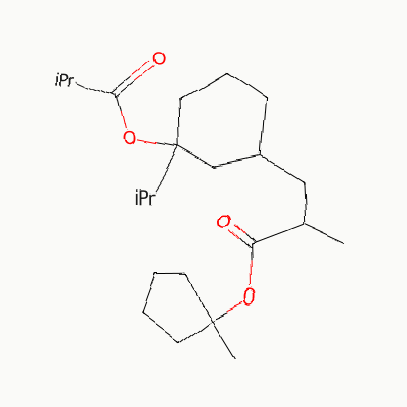 CC(C)C(=O)OC1(C(C)C)CCCC(CC(C)C(=O)OC2(C)CCCC2)C1